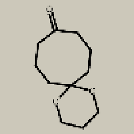 O=C1CCCC2(CCC1)OCCCO2